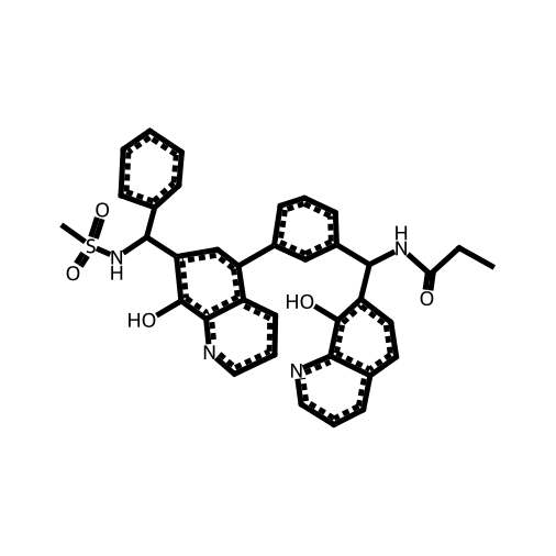 CCC(=O)NC(c1cccc(-c2cc(C(NS(C)(=O)=O)c3ccccc3)c(O)c3ncccc23)c1)c1ccc2cccnc2c1O